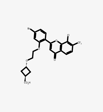 O=c1cc(-c2ccc(Br)cc2OCCO[C@H]2C[C@H](C(=O)O)C2)oc2c(Cl)c(C(F)(F)F)ccc12